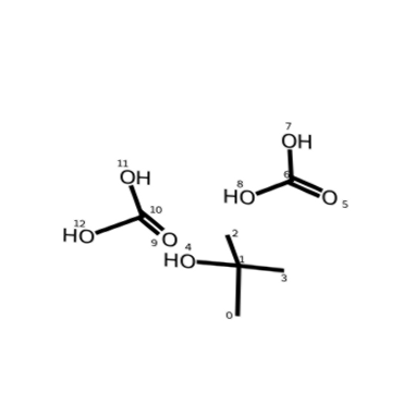 CC(C)(C)O.O=C(O)O.O=C(O)O